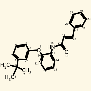 CC(C)(C)c1cccc(Oc2ncccc2NC(=O)C=Cc2ccccc2)c1